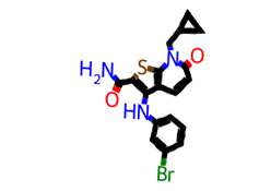 NC(=O)c1sc2c(ccc(=O)n2CC2CC2)c1Nc1cccc(Br)c1